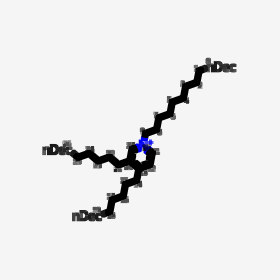 CCCCCCCCCCCCCCCCCCC[n+]1ccc(CCCCCCCCCCCCCCC)c(CCCCCCCCCCCCCCC)c1